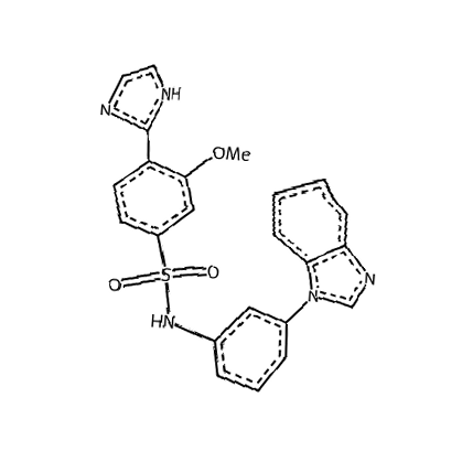 COc1cc(S(=O)(=O)Nc2cccc(-n3cnc4ccccc43)c2)ccc1-c1ncc[nH]1